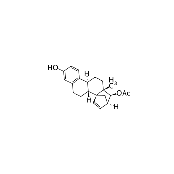 CC(=O)O[C@H]1[C@H]2C=C[C@@]3(C2)[C@@H]2CCc4cc(O)ccc4[C@H]2CC[C@]13C